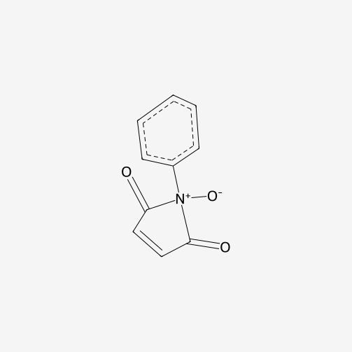 O=C1C=CC(=O)[N+]1([O-])c1ccccc1